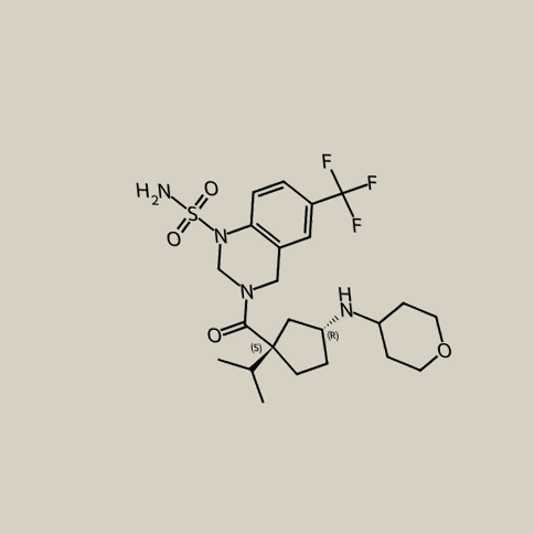 CC(C)[C@]1(C(=O)N2Cc3cc(C(F)(F)F)ccc3N(S(N)(=O)=O)C2)CC[C@@H](NC2CCOCC2)C1